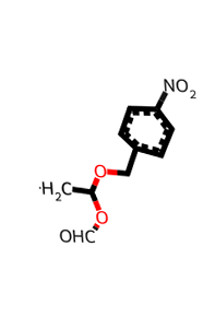 [CH2]C(OC=O)OCc1ccc([N+](=O)[O-])cc1